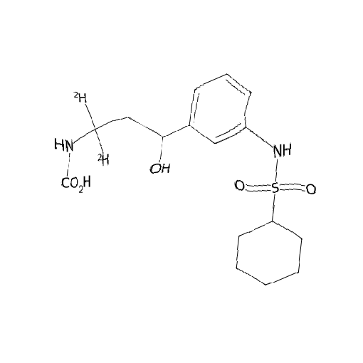 [2H]C([2H])(CC(O)c1cccc(NS(=O)(=O)C2CCCCC2)c1)NC(=O)O